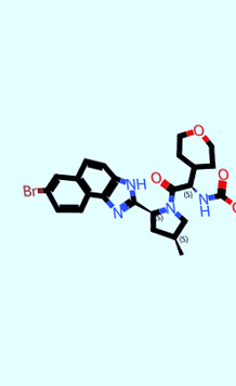 COC(=O)N[C@H](C(=O)N1C[C@@H](C)C[C@H]1c1nc2c(ccc3cc(Br)ccc32)[nH]1)C1CCOCC1